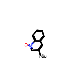 CCCCc1cc2ccccc2[n+]([O-])c1